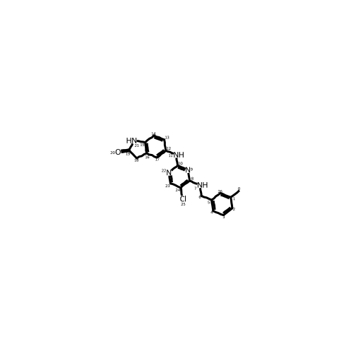 Cc1cccc(CNc2nc(Nc3ccc4c(c3)CC(=O)N4)ncc2Cl)c1